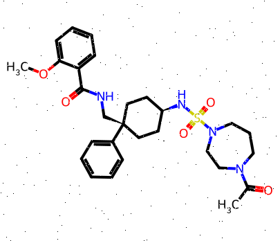 COc1ccccc1C(=O)NC[C@]1(c2ccccc2)CC[C@H](NS(=O)(=O)N2CCCN(C(C)=O)CC2)CC1